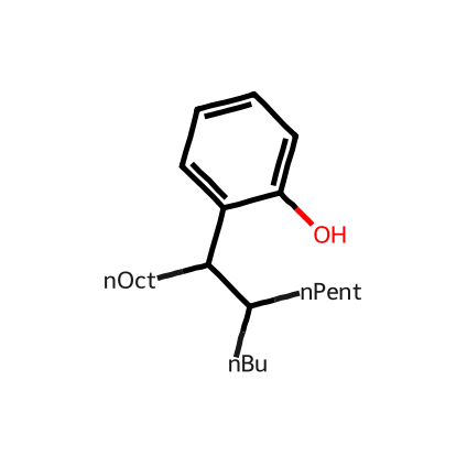 CCCCCCCCC(c1ccccc1O)C(CCCC)CCCCC